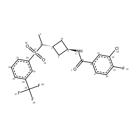 CC([C@H]1C[C@H](NC(=O)c2ccc(F)c(Cl)c2)C1)S(=O)(=O)c1cccc(C(F)(F)F)c1